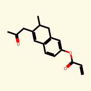 C=CC(=O)Oc1ccc2c(c1)CC(C)C(CC(C)=O)=C2